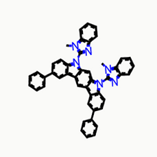 Cn1c(-n2c3ccc(-c4ccccc4)cc3c3cc4c5cc(-c6ccccc6)ccc5n(-c5nc6ccccc6n5C)c4cc32)nc2ccccc21